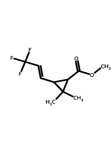 COC(=O)C1C(C=CC(F)(F)F)C1(C)C